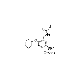 C=CC(=O)NCc1cc(NS(C)(=O)=O)ccc1OC1CCCCC1